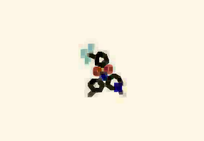 Cc1ccc2c(c1)c1c(n2S(=O)(=O)c2cccc(C(F)(F)F)c2)CCCN(C)C1